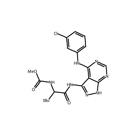 COC(=O)NC(C(=O)Nc1n[nH]c2ncnc(Nc3cccc(Cl)c3)c12)C(C)(C)C